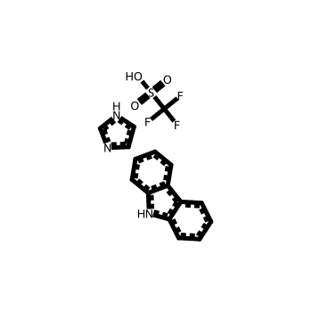 O=S(=O)(O)C(F)(F)F.c1c[nH]cn1.c1ccc2c(c1)[nH]c1ccccc12